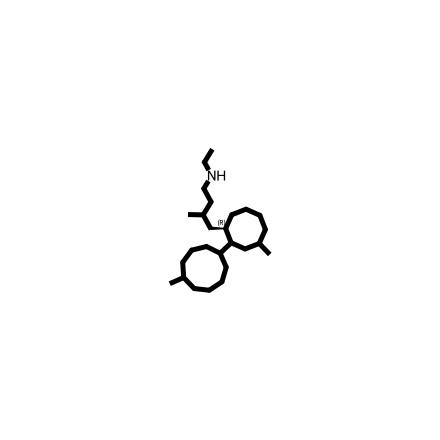 CCNCCC(C)C[C@H]1CCCCC(C)CC1C1CCCCC(C)CCC1